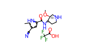 CO[C@H]1CNCC[C@H]1NC(=O)c1cc(C#N)c(C)[nH]1.O=C(O)C(F)(F)F